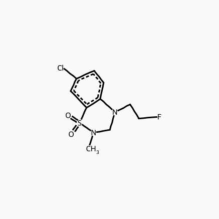 CN1CN(CCF)c2ccc(Cl)cc2S1(=O)=O